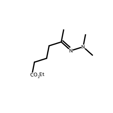 CCOC(=O)CCCC(C)=NN(C)C